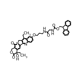 CCc1c2c(nc3ccc(OCCCNC(=O)CNC(=O)OCC4c5ccccc5-c5ccccc54)cc13)-c1cc3c(c(=O)n1C2)COC(=O)[C@]3(O)CC